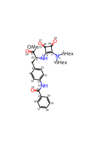 CCCCCCN(CCCCCC)c1c(N[C@@H](Cc2ccc(NC(=O)c3ccccc3)cc2)C(=O)OC)c(=O)c1=O